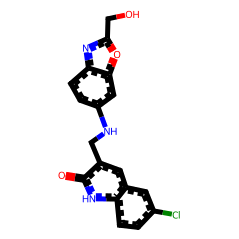 O=c1[nH]c2ccc(Cl)cc2cc1CNc1ccc2nc(CO)oc2c1